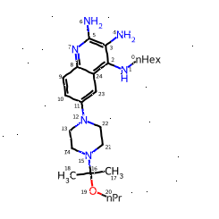 CCCCCCNc1c(N)c(N)nc2ccc(N3CCN(C(C)(C)OCCC)CC3)cc12